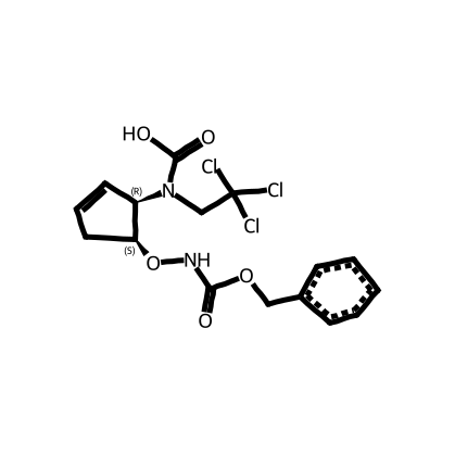 O=C(NO[C@H]1CC=C[C@H]1N(CC(Cl)(Cl)Cl)C(=O)O)OCc1ccccc1